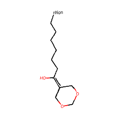 CCCCCCCCCCCCCCCC(O)=C1COCOC1